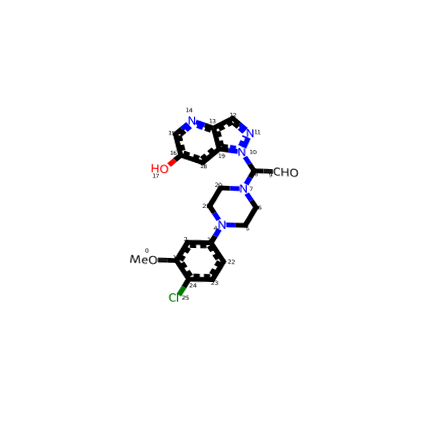 COc1cc(N2CCN(C(C=O)n3ncc4ncc(O)cc43)CC2)ccc1Cl